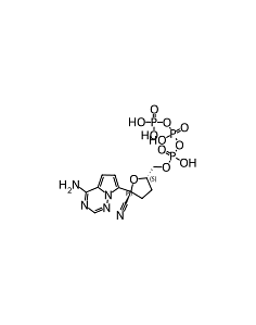 N#C[C@]1(c2ccc3c(N)ncnn23)CC[C@@H](COP(=O)(O)OP(=O)(O)OP(=O)(O)O)O1